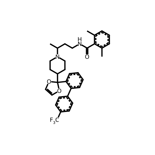 Cc1cccc(C)c1C(=O)NCCC(C)N1CCC(C2(c3ccccc3-c3ccc(C(F)(F)F)cc3)OC=CO2)CC1